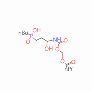 CCCCP(=O)(O)CCC(O)NC(=O)OCOC(=O)CCC